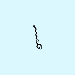 C#CCCCCCCOCC1CCOCC1